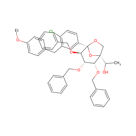 CCOc1ccc(Cc2cc([C@]34OC[C@](C(C)O)(O3)[C@H](OCc3ccccc3)[C@H](OCc3ccccc3)[C@H]4OCc3ccccc3)ccc2Cl)cc1